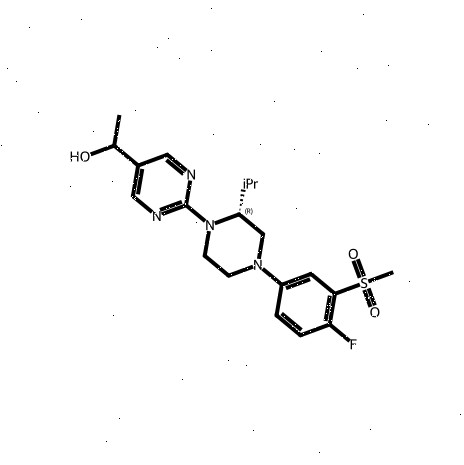 CC(O)c1cnc(N2CCN(c3ccc(F)c(S(C)(=O)=O)c3)C[C@H]2C(C)C)nc1